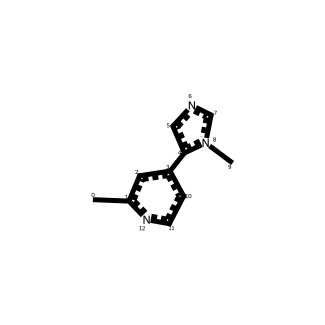 Cc1cc(-c2cncn2C)ccn1